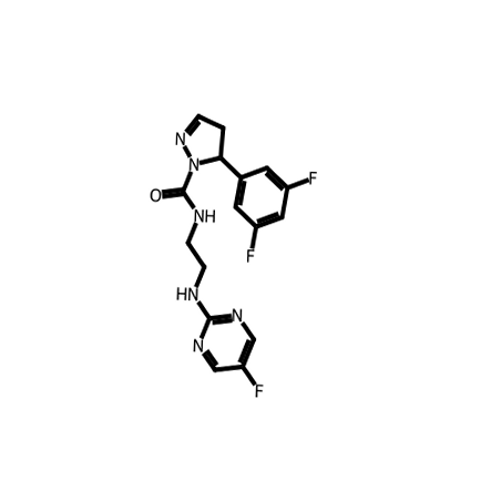 O=C(NCCNc1ncc(F)cn1)N1N=CCC1c1cc(F)cc(F)c1